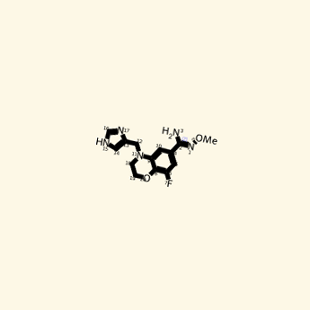 CO/N=C(\N)c1cc(F)c2c(c1)N(Cc1c[nH]cn1)CCO2